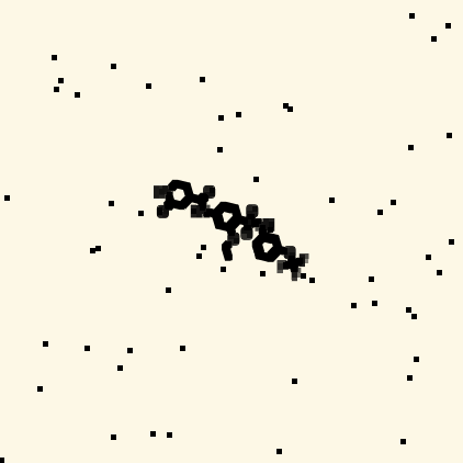 CCOc1cc(NC(=O)C2CCNC(=O)C2)ccc1S(=O)(=O)Nc1cccc(OC(F)(F)F)c1